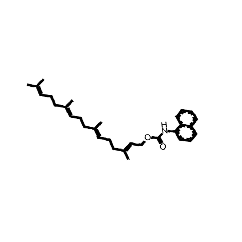 CC(C)=CCC/C(C)=C/CC/C(C)=C/CC/C(C)=C/COC(=O)Nc1cccc2ccccc12